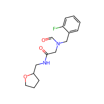 O=CN(CC(=O)NCC1CCCO1)Cc1ccccc1F